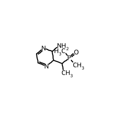 CC(C1N=CC=NC1N)P(C)(C)=O